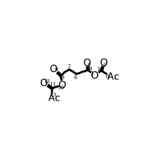 CC(=O)C(=O)OC(=O)CCC(=O)OC(=O)C(C)=O